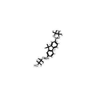 CC1(C)c2cc(BOC(C)(C)C(C)(C)O)ccc2-c2ccc(B3OC(C)(C)C(C)(C)O3)cc21